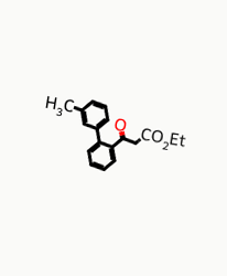 CCOC(=O)CC(=O)c1ccccc1-c1cccc(C)c1